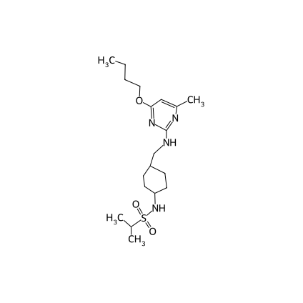 CCCCOc1cc(C)nc(NCC2CCC(NS(=O)(=O)C(C)C)CC2)n1